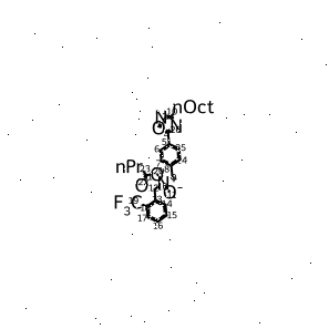 CCCCCCCCc1noc(-c2ccc(C[N+]([O-])(Cc3ccccc3C(F)(F)F)OC(=O)CCC)cc2)n1